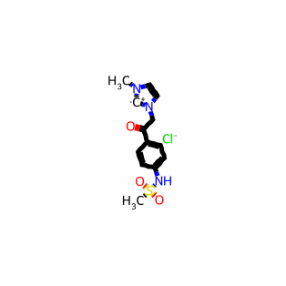 CN1[C+]N(CC(=O)c2ccc(NS(C)(=O)=O)cc2)C=C1.[Cl-]